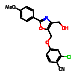 COc1ccc(-c2nc(CO)c(COc3ccc(C#N)c(Cl)c3)o2)cc1